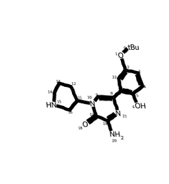 CC(C)(C)Oc1ccc(O)c(-c2cn(C3CCCNC3)c(=O)c(N)n2)c1